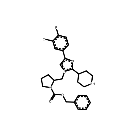 O=C(OCc1ccccc1)N1CCCC1Cn1cc(-c2ccc(F)c(Cl)c2)nc1C1CCNCC1